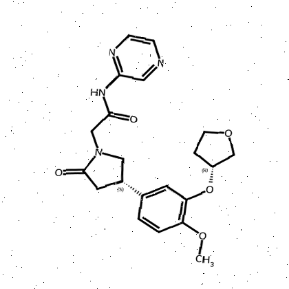 COc1ccc([C@@H]2CC(=O)N(CC(=O)Nc3cnccn3)C2)cc1O[C@@H]1CCOC1